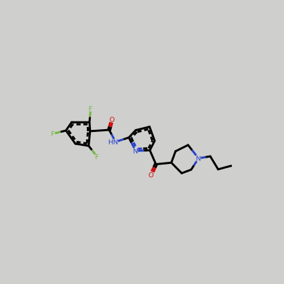 CCCN1CCC(C(=O)c2cccc(NC(=O)c3c(F)cc(F)cc3F)n2)CC1